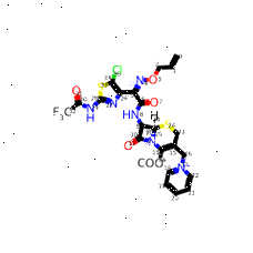 C=CCO/N=C(\C(=O)NC1C(=O)N2C(C(=O)[O-])=C(C[n+]3ccccc3)CS[C@H]12)c1nc(NC(=O)C(F)(F)F)sc1Cl